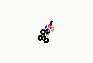 C=CCOC(=O)N1C[C@@H](SC(c2ccccc2)(c2ccccc2)c2ccccc2)C[C@H]1CI